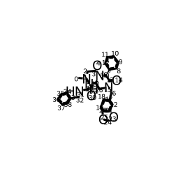 CN1CC(=O)N2[C@@H](c3ccccc3)C(=O)N(Cc3ccc4c(c3)OCO4)C[C@@H]2N1C(=O)NCc1ccccc1